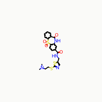 CN(C)CCSc1ncc(CNC(=O)c2ccc3c(c2)NC(=O)c2ccccc2S3(=O)=O)s1